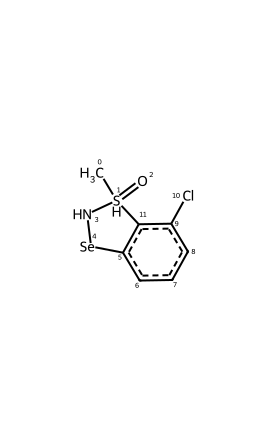 C[SH]1(=O)N[Se]c2cccc(Cl)c21